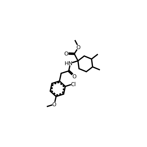 COC(=O)C1(NC(=O)Cc2ccc(OC)cc2Cl)CCC(C)C(C)C1